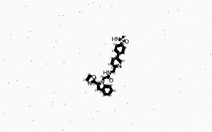 CS(=N)(=O)c1ccc(-c2ccc(CNC(=O)Cn3c(-c4ncco4)cc4ccccc43)nc2)cc1